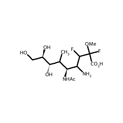 COC(F)(C(=O)O)C(F)C(N)[C@@H](NC(C)=O)C(C)[C@H](O)[C@H](O)CO